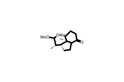 COC(OC)[C@@H](C)[C@H]1CCC2C(=O)CCC[C@@]21C